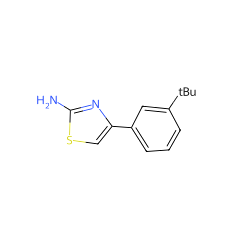 CC(C)(C)c1cccc(-c2csc(N)n2)c1